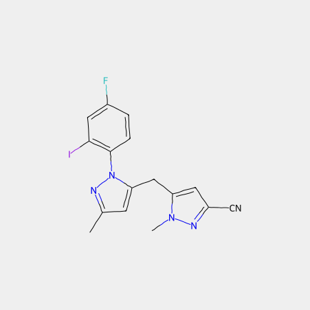 Cc1cc(Cc2cc(C#N)nn2C)n(-c2ccc(F)cc2I)n1